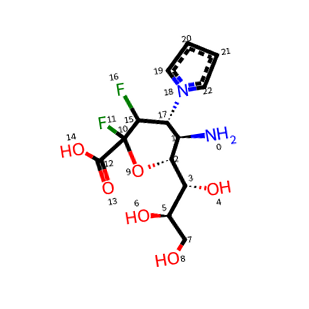 N[C@H]1[C@H]([C@H](O)[C@H](O)CO)OC(F)(C(=O)O)C(F)[C@@H]1n1cccc1